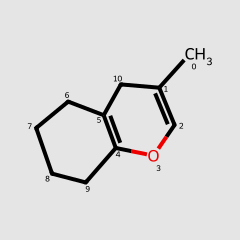 CC1=COC2=C(CCCC2)C1